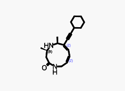 CC1N[C@H](C)CC(=O)NC/C=C\C=C/1C#CC1CCCCC1